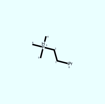 CC(C)CC[PH](C)(C)C